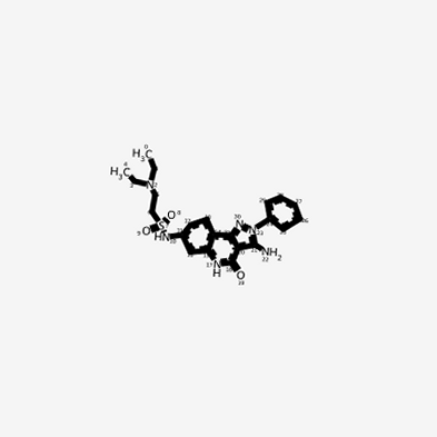 CCN(CC)CCS(=O)(=O)Nc1ccc2c(c1)[nH]c(=O)c1c(N)n(-c3ccccc3)nc12